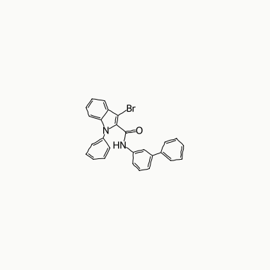 O=C(Nc1cccc(-c2ccccc2)c1)c1c(Br)c2ccccc2n1-c1ccccc1